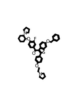 O=C(c1ccc(O[C@H]2CCCC[C@@H]2N2CCCC2)c(F)c1)c1c(-c2ccc(OCCN3CCCC3)cc2)sc2cc(OCc3ccccc3)ccc12